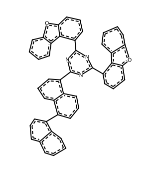 c1ccc2c(-c3cccc4c(-c5nc(-c6cccc7oc8ccccc8c67)nc(-c6cccc7oc8ccccc8c67)n5)cccc34)cccc2c1